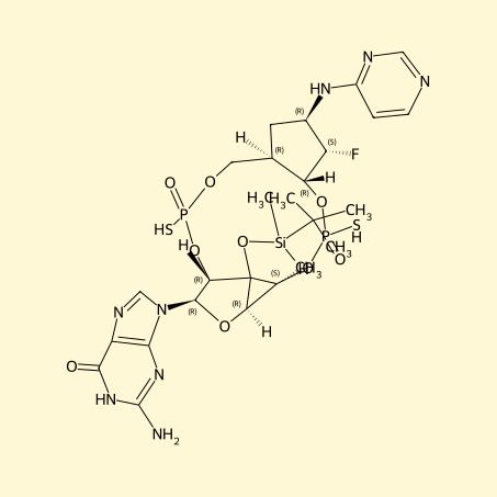 CC(C)(C)[Si](C)(C)OC12[C@@H]3O[C@@H](n4cnc5c(=O)[nH]c(N)nc54)[C@@H]1OP(=O)(S)OC[C@H]1C[C@@H](Nc4ccncn4)[C@H](F)[C@@H]1OP(=O)(S)O[C@@H]32